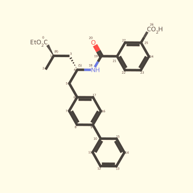 CCOC(=O)[C@H](C)C[C@@H](Cc1ccc(-c2ccccc2)cc1)NC(=O)c1cccc(C(=O)O)c1